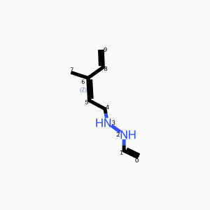 C=CNNC/C=C(/C)C=C